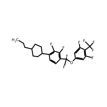 CCCC1CCC(c2ccc(C(F)(F)Oc3cc(F)c(C(F)(F)F)c(F)c3)c(F)c2F)CC1